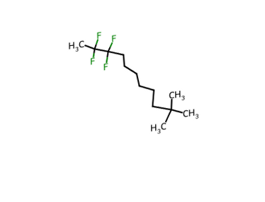 CC(C)(C)CCCCCCC(F)(F)C(C)(F)F